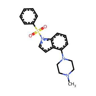 CN1CCN(c2cccc3c2ccn3S(=O)(=O)c2ccccc2)CC1